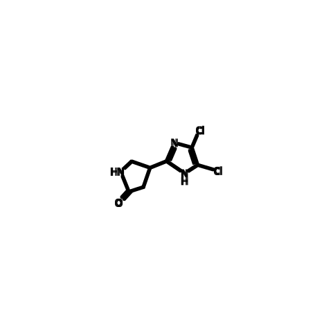 O=C1CC(c2nc(Cl)c(Cl)[nH]2)CN1